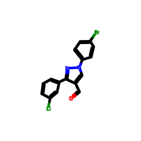 O=Cc1cn(-c2ccc(Br)cc2)nc1-c1cccc(Cl)c1